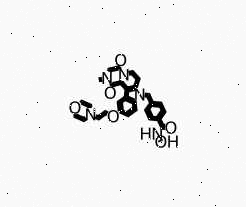 CN1CC(=O)N2CCc3c(c4cc(OCCN5CCOCC5)ccc4n3Cc3ccc(C(=O)NO)cc3)C2C1=O